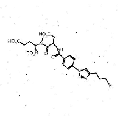 CN(C(=O)C(CC(=O)O)NC(=O)c1ccc(-n2cc(CCCF)nn2)cc1)C(CCC(=O)O)C(=O)O